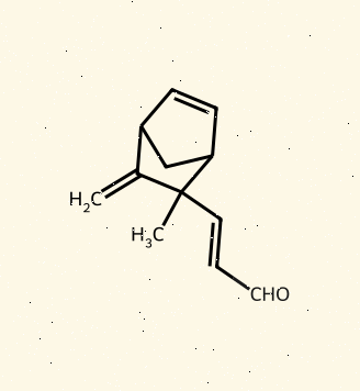 C=C1C2C=CC(C2)C1(C)C=CC=O